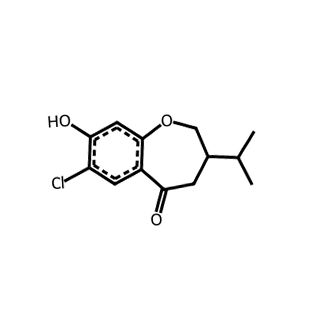 CC(C)C1COc2cc(O)c(Cl)cc2C(=O)C1